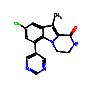 Cc1c2n(c3c(-c4cncnc4)cc(Cl)cc13)CCNC2=O